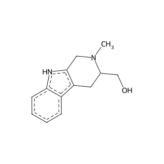 CN1Cc2[nH]c3ccccc3c2CC1CO